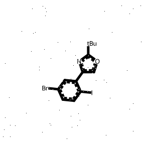 CC(C)(C)c1nc(-c2cc(Br)ccc2I)co1